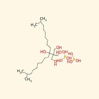 CC(C)CCCCCCCC(O)(CCCCCCCC(C)C)C(CO)(CO)CO.OP(O)O.OP(O)O